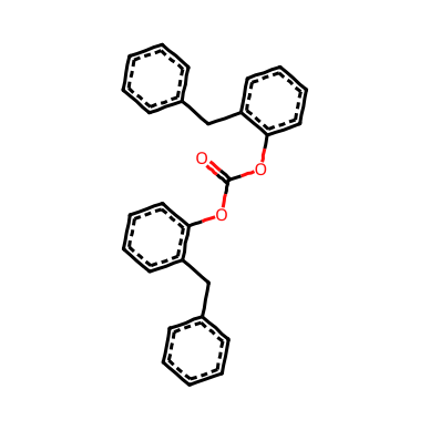 O=C(Oc1ccccc1Cc1ccccc1)Oc1ccccc1Cc1ccccc1